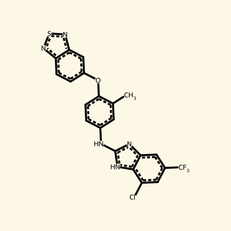 Cc1cc(Nc2nc3cc(C(F)(F)F)cc(Cl)c3[nH]2)ccc1Oc1ccc2nsnc2c1